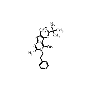 Cc1nc2nc(C)n(CCc3ccccc3)c(O)c-2c1OC(=O)C(C)(C)C